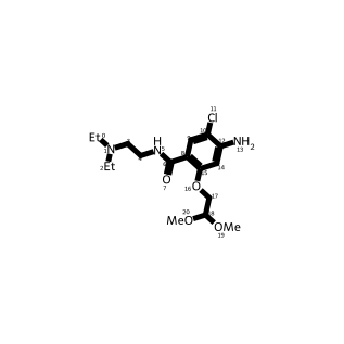 CCN(CC)CCNC(=O)c1cc(Cl)c(N)cc1OCC(OC)OC